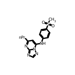 CCCc1cc(Nc2ccc(S(C)(=O)=O)cc2)n2ncnc2n1